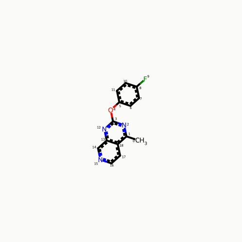 Cc1nc(Oc2ccc(F)cc2)nc2cnccc12